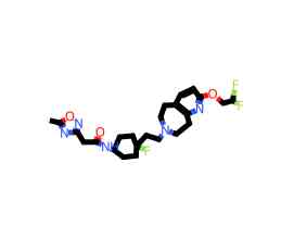 Cc1nc(CC(=O)NC2CCC(F)(CCN3CCc4ccc(OCC(F)F)nc4CC3)CC2)no1